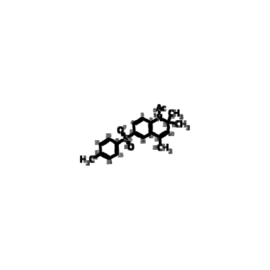 CC(=O)N1c2ccc(S(=O)(=O)c3ccc(C)cc3)cc2C(C)=CC1(C)C